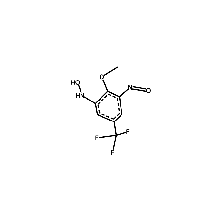 COc1c(N=O)cc(C(F)(F)F)cc1NO